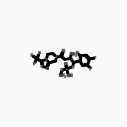 NOP(=O)(O)OC(c1cc(F)c(F)cc1F)C(N)CC(=O)N1CCn2c(nnc2C(F)(F)F)C1